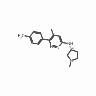 Cc1cc(N[C@@H]2CCN(C)C2)nnc1-c1ccc(C(F)(F)F)cc1